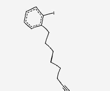 N#CCCCCCCc1ccccc1I